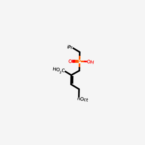 CCCCCCCCC/C=C(\CP(=O)(O)CC(C)C)C(=O)O